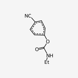 CCNC(=O)Oc1ccc(C#N)cc1